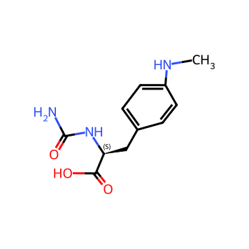 CNc1ccc(C[C@H](NC(N)=O)C(=O)O)cc1